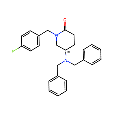 O=C1CC[C@H](N(Cc2ccccc2)Cc2ccccc2)CN1Cc1ccc(F)cc1